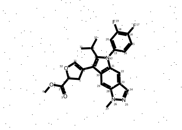 COC(=O)C1CC(c2c(C(C)C)n(-c3ccc(F)c(F)c3)c3cc4cnn(C)c4cc23)=CO1